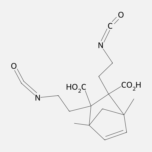 CC12C=CC(C)(C1)C(CCN=C=O)(C(=O)O)C2(CCN=C=O)C(=O)O